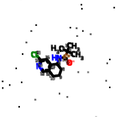 CC(C)(C)[S@+]([O-])N[C@H]1CCCc2cnc(Cl)cc21